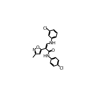 Cc1cc(C(=CNc2cccc(Cl)c2)C(=O)Nc2ccc(Cl)cc2)on1